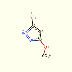 O=C(O)Oc1cc(C(F)(F)F)[nH]n1